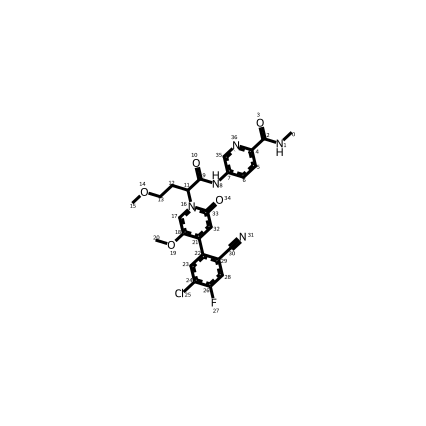 CNC(=O)c1ccc(NC(=O)C(CCOC)n2cc(OC)c(-c3cc(Cl)c(F)cc3C#N)cc2=O)cn1